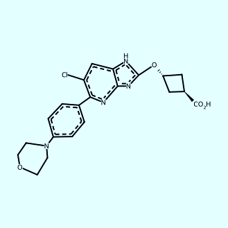 O=C(O)[C@H]1C[C@H](Oc2nc3nc(-c4ccc(N5CCOCC5)cc4)c(Cl)cc3[nH]2)C1